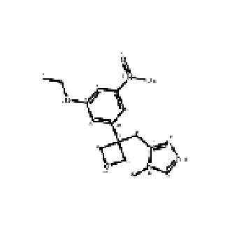 CCOc1cc([N+](=O)[O-])cc(C2(Cc3nncn3C)COC2)c1